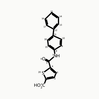 O=C(O)c1ccc(C(=O)Nc2ccc(-c3ccccc3)cc2)s1